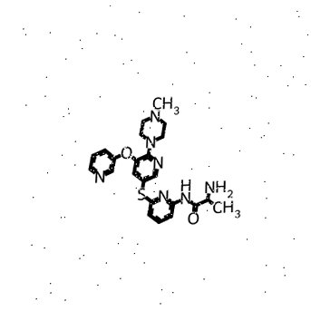 CC(N)C(=O)Nc1cccc(Sc2cnc(N3CCN(C)CC3)c(Oc3cccnc3)c2)n1